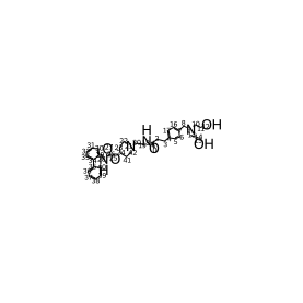 O=C(CCc1ccc(CN(CCO)CCO)cc1)NCCN1CCC(OC(=O)Nc2ccccc2-c2ccccc2)CC1